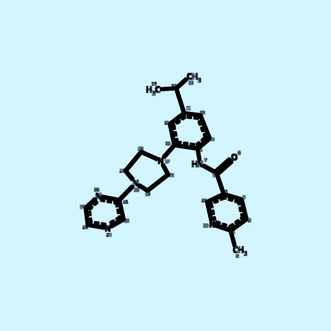 Cc1ccc(C(=O)Nc2ccc(C(C)C)cc2N2CCN(c3cnccn3)CC2)cn1